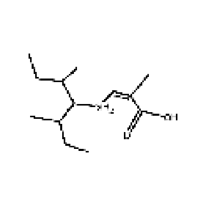 CCC(C)C([SiH2]C=C(C)C(=O)O)C(C)CC